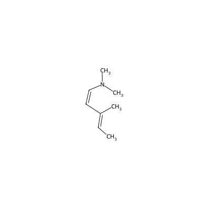 C/C=C(C)/C=C\N(C)C